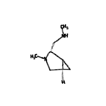 CNC[C@@H]1C2C[C@H]2CN1C